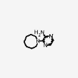 Nc1nccnc1N1CCCCCCC1